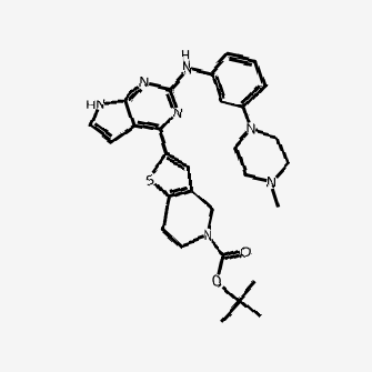 CN1CCN(c2cccc(Nc3nc(-c4cc5c(s4)CCN(C(=O)OC(C)(C)C)C5)c4cc[nH]c4n3)c2)CC1